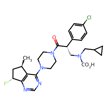 C[C@@H]1C[C@@H](F)c2ncnc(N3CCN(C(=O)[C@@H](CN(CC4CC4)C(=O)O)c4ccc(Cl)cc4)CC3)c21